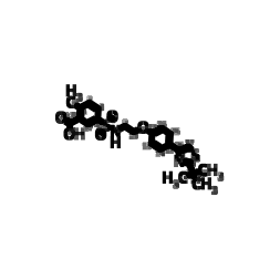 Cc1ccc(S(=O)(=O)NCCOc2ccc(-c3csc(C(C)(C)C)n3)cc2)cc1C(=O)O